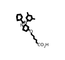 Cc1cc(C)cc(-n2c(-c3ccccc3)nc3ccc(OCCCCCC(=O)O)cc32)c1